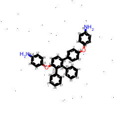 Nc1ccc(Oc2ccc(-c3ccc(Oc4ccc(N)cc4)c(-c4ccccc4)c3-c3ccccc3)cc2)cc1